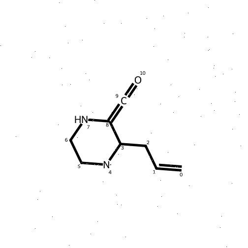 C=CCC1[N]CCNC1=C=O